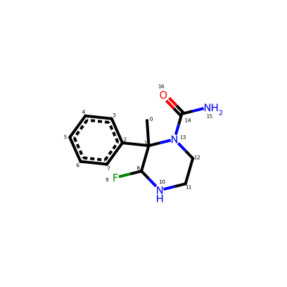 CC1(c2ccccc2)C(F)NCCN1C(N)=O